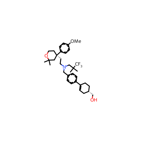 COc1ccc([C@]2(CCN(Cc3ccc(C4=CC[C@@H](CO)CC4)cc3)CC(C)(C)C(F)(F)F)CCOC(C)(C)C2)cc1